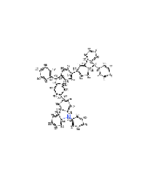 c1ccc(C2c3ccccc3-c3cc(-c4ccc5c(c4)-c4cc(-c6ccc7c(c6)c6ccccc6n7-c6ccccc6)ccc4C5c4ccccc4)ccc32)cc1